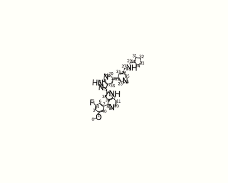 COc1cc(F)cc(-c2nccc3[nH]c(-c4n[nH]c5ncc(-c6cncc(CNCC7CCCC7)c6)cc45)cc23)c1